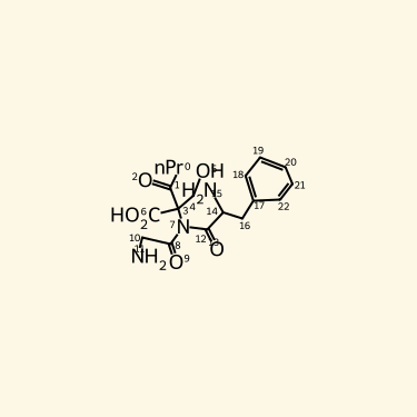 CCCC(=O)C(CO)(C(=O)O)N(C(=O)CN)C(=O)C(N)Cc1ccccc1